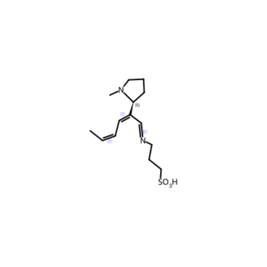 C\C=C/C=C(\C=N\CCCS(=O)(=O)O)[C@@H]1CCCN1C